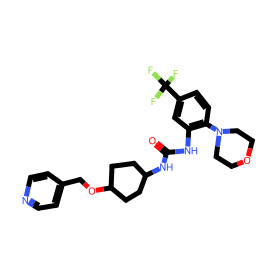 O=C(Nc1cc(C(F)(F)F)ccc1N1CCOCC1)NC1CCC(OCc2ccncc2)CC1